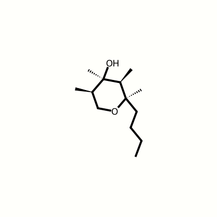 CCCC[C@@]1(C)OC[C@@H](C)[C@@](C)(O)[C@H]1C